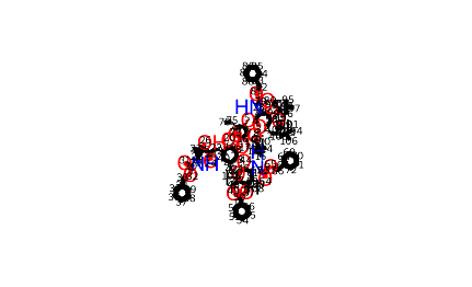 CC[C@@H]1O[C@H](O[C@H]2[C@@H](O[Si](C)(C)C(C)(C)C)[C@H](O[C@@H]3[C@@H](O)[C@H](CC(=O)C4(O)CC4NC(=O)OCc4ccccc4)C[C@H](C)[C@H]3O[C@H]3O[C@@H]4COC(c5ccccc5)O[C@H]4[C@H](C)[C@H]3NC(=O)OCc3ccccc3)O[C@@H]2CC)[C@H](NC(=O)OCc2ccccc2)[C@@H](O[Si](C)(C)C(C)(C)C)[C@@H]1O[Si](C)(C)C(C)(C)C